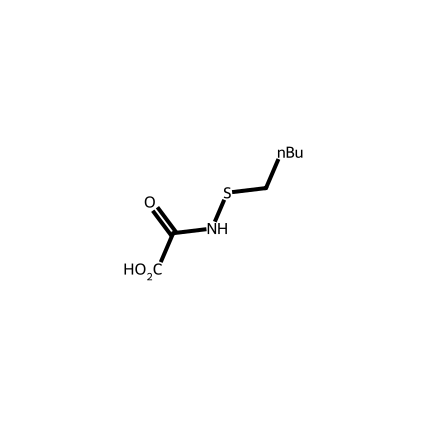 CCCCCSNC(=O)C(=O)O